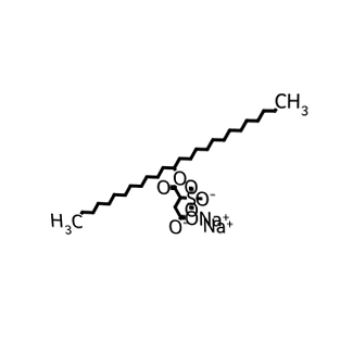 CCCCCCCCCCCCCC(CCCCCCCCCCCC)OC(=O)C(CC(=O)[O-])S(=O)(=O)[O-].[Na+].[Na+]